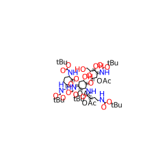 CC(=O)OC1[C@@H](O[C@@H]2C(O)C(O[C@H]3O[C@H](CNC(=O)OC(C)(C)C)CCC3NC(=O)OC(C)(C)C)[C@@H](NC(=O)OC(C)(C)C)[C@@H](OC(C)=O)C2NC(=O)[C@H](CCNC(=O)OC(C)(C)C)OC(C)=O)OC(CO)[C@@H](O)[C@@H]1NC(=O)OC(C)(C)C